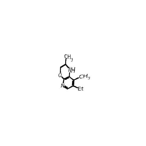 CCc1cnc2c(c1C)NC(C)CO2